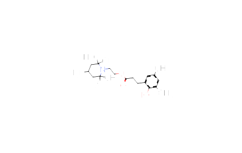 Cc1cc(C)c(O)c(CCC(=O)OCCN2C(C)(C)CC(C)CC2(C)C)c1